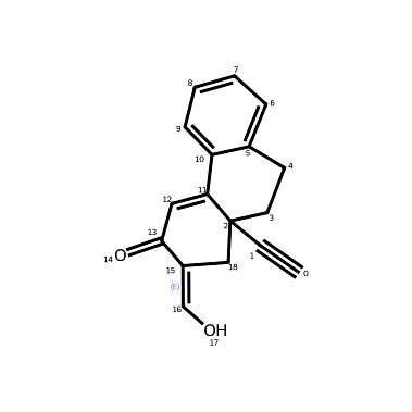 C#CC12CCc3ccccc3C1=CC(=O)/C(=C/O)C2